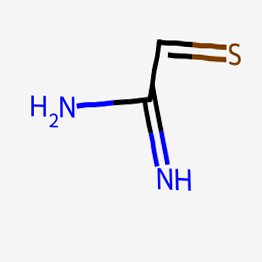 N=C(N)C=S